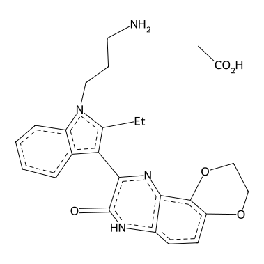 CC(=O)O.CCc1c(-c2nc3c4c(ccc3[nH]c2=O)OCCO4)c2ccccc2n1CCCN